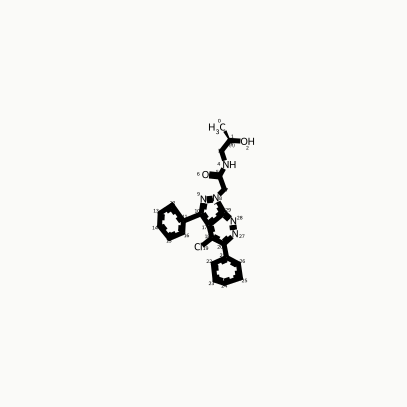 C[C@@H](O)CNC(=O)Cn1nc(-c2ccccc2)c2c(Cl)c(-c3ccccc3)nnc21